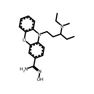 CCC(CCN1c2ccccc2Oc2cc(/C(N)=N/O)ccc21)N(C)CC